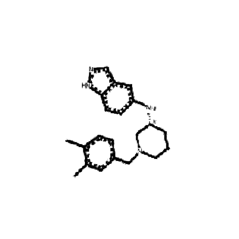 Cc1ccc(CN2CCC[C@@H](Nc3ccc4[nH]ncc4c3)C2)cc1C